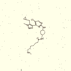 Cn1ncc(-c2nc(NC3CCC(NC(=O)CCCCCCN)CC3)ncc2Cl)c1CC1CC1